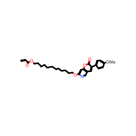 C=CC(=O)OCCCCCCCCCCCCOc1cc2oc(=O)c(-c3ccc(OC)cc3)cc2cn1